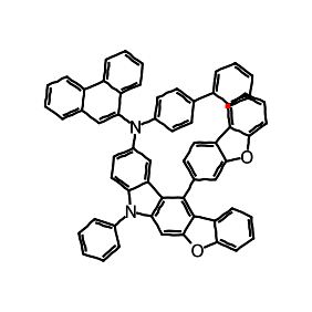 c1ccc(-c2ccc(N(c3ccc4c(c3)c3c(-c5ccc6c(c5)oc5ccccc56)c5c(cc3n4-c3ccccc3)oc3ccccc35)c3cc4ccccc4c4ccccc34)cc2)cc1